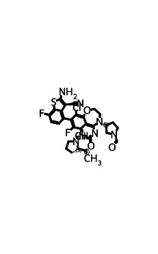 C[C@H](Oc1nc2c3c(c(Cl)c(-c4ccc(F)c5sc(N)c(C#N)c45)c(F)c3n1)OCCN2[C@@H]1CCN(C=O)C1)[C@@H]1CCCN1C